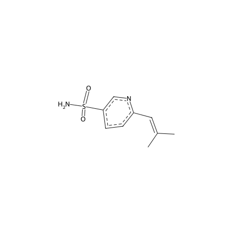 CC(C)=Cc1ccc(S(N)(=O)=O)cn1